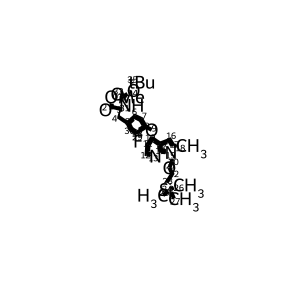 COC(=O)[C@H](Cc1ccc(Oc2ccnc3c2cc(C)n3COCC[Si](C)(C)C)c(F)c1)NC(=O)OC(C)(C)C